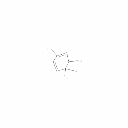 CC1=CC([SiH3])C(C)(C)C=C1